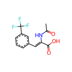 CC(=O)N/C(=C\c1cccc(C(F)(F)F)c1)C(=O)O